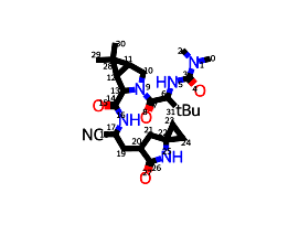 CN(C)C(=O)NC(C(=O)N1CC2C(C1C(=O)NC(C#N)CC1CC3(CC3)NC1=O)C2(C)C)C(C)(C)C